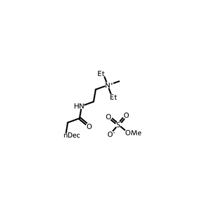 CCCCCCCCCCCC(=O)NCC[N+](C)(CC)CC.COS(=O)(=O)[O-]